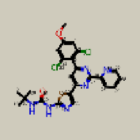 COc1cc(Cl)c(-c2cc(-c3cnc(NC(=O)NC(C)(C)C)s3)nc(-c3ccccn3)n2)c(Cl)c1